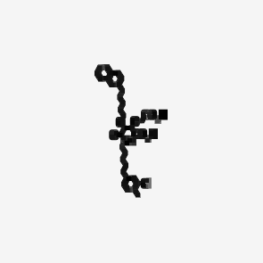 Cc1ccc(CCCCCNC(=O)C(OCCCCCc2ccc3ccccc3c2)C(OCC(=O)O)C(=O)O)cc1Cl